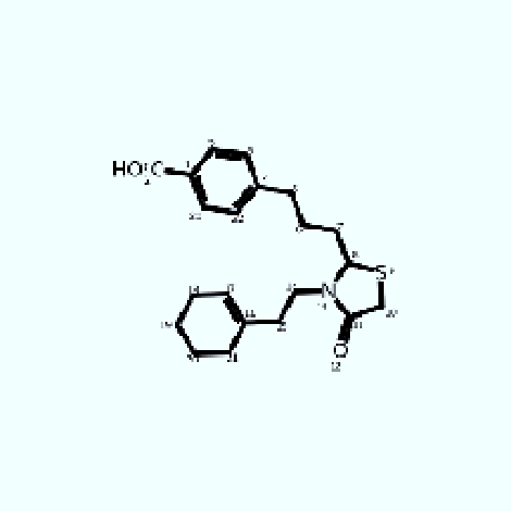 O=C(O)c1ccc(CCCC2SCC(=O)N2CCC2=CCCCC2)cc1